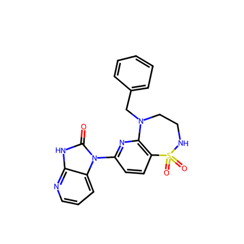 O=c1[nH]c2ncccc2n1-c1ccc2c(n1)N(Cc1ccccc1)CCNS2(=O)=O